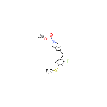 CC(C)(C)OC(=O)N1CC2(CC(=Cc3ccc(SC(F)(F)F)cc3F)C2)C1